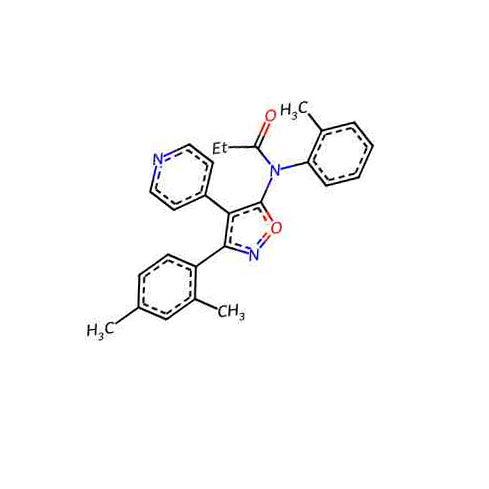 CCC(=O)N(c1ccccc1C)c1onc(-c2ccc(C)cc2C)c1-c1ccncc1